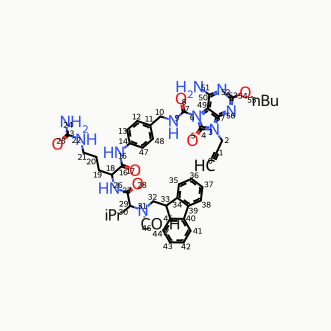 C#CCn1c(=O)n(C(=O)NCc2ccc(NC(=O)C(CCCNC(N)=O)NC(=O)C(C(C)C)N(CC3c4ccccc4-c4ccccc43)C(=O)O)cc2)c2c(N)nc(OCCCC)nc21